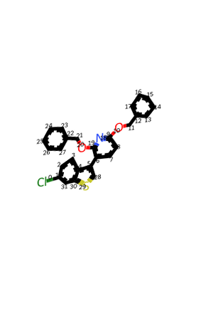 Clc1ccc2c(-c3ccc(OCc4ccccc4)nc3OCc3ccccc3)csc2c1